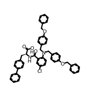 O=C(N[C@@H](Cc1ccc(-c2ccccc2)cc1)C(=O)O)c1cc(Cl)ccc1N(Cc1ccc(OCc2ccccc2)cc1)Cc1ccc(OCc2ccccc2)cc1